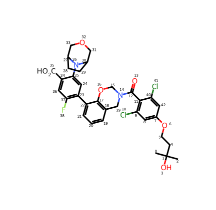 CC(C)(O)CCOc1cc(Cl)c(C(=O)N2COc3c(cccc3-c3cc(N4C5CCC4COC5)c(C(=O)O)cc3F)C2)c(Cl)c1